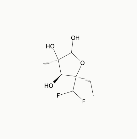 CC[C@@]1(C(F)F)OC(O)[C@](C)(O)[C@@H]1O